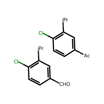 CC(=O)c1ccc(Cl)c(C(C)C)c1.CC(C)c1cc(C=O)ccc1Cl